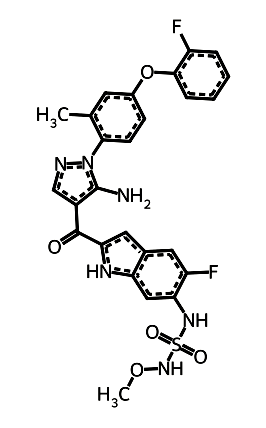 CONS(=O)(=O)Nc1cc2[nH]c(C(=O)c3cnn(-c4ccc(Oc5ccccc5F)cc4C)c3N)cc2cc1F